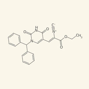 [C-]#[N+]/C(=C\c1cn(C(c2ccccc2)c2ccccc2)c(=O)[nH]c1=O)C(=O)OCC